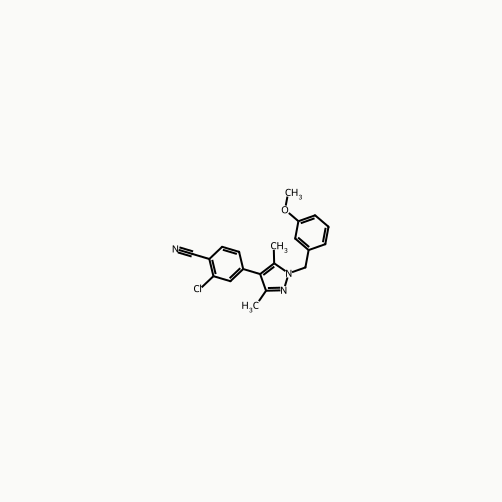 COc1cccc(Cn2nc(C)c(-c3ccc(C#N)c(Cl)c3)c2C)c1